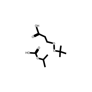 CC(C)(C)OOCCC(=O)O.CC(C)OC(=O)O